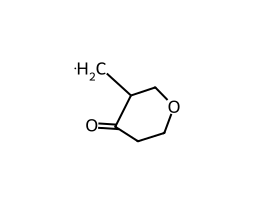 [CH2]C1COCCC1=O